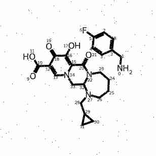 NCc1ccc(F)cc1.O=C(O)c1cn2c(c(O)c1=O)C(=O)N1CCCCN(CC3CC3)C1C2